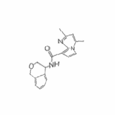 Cc1cc(C)n2ccc(C(=O)NC3COCc4ccccc43)c2n1